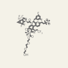 CC(C)(CCc1ccc(-c2ccc(Cl)c3c(N(C(=O)OCCOCCOCCO)S(C)(=O)=O)nn(CC(F)(F)F)c23)c([C@H](Cc2cc(F)cc(F)c2)NC(=O)Cn2nc(C(F)(F)F)c3c2C(F)(F)C2C[C@H]32)n1)S(C)(=O)=O